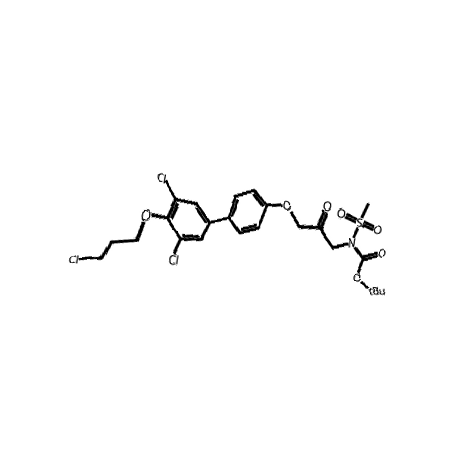 CC(C)(C)OC(=O)N(CC(=O)COc1ccc(-c2cc(Cl)c(OCCCCl)c(Cl)c2)cc1)S(C)(=O)=O